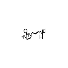 CN1CCN(CCCNCl)C1=O